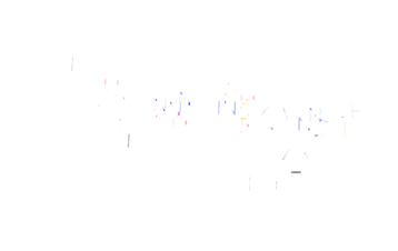 CCOC(=O)OC(C)O/N=[N+](\[O-])N1CCCC(C(=O)NS(=O)(=O)c2ccc(-n3nc(C(F)(F)F)cc3-c3ccc(C)cc3)cc2)C1